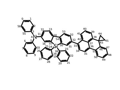 c1ccc(N(c2ccccc2)c2ccc3c(c2)[Si](c2ccccc2)(c2ccccc2)c2cc(-c4ccc5c6c(cccc46)C4(CC4)c4ccccc4-5)ccc2-3)cc1